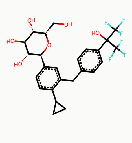 OC[C@H]1O[C@@H](c2ccc(C3CC3)c(Cc3ccc(C(O)(C(F)(F)F)C(F)(F)F)cc3)c2)[C@H](O)C(O)[C@@H]1O